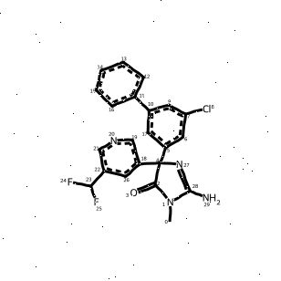 CN1C(=O)C(c2cc(Cl)cc(-c3ccccc3)c2)(c2cncc(C(F)F)c2)N=C1N